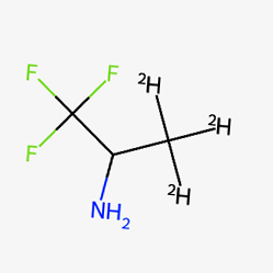 [2H]C([2H])([2H])C(N)C(F)(F)F